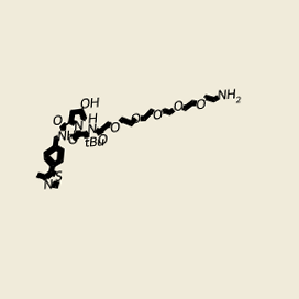 Cc1ncsc1-c1ccc(CNC(=O)[C@H]2C[C@H](O)CN2C(=O)C(NC(=O)COCCOCCOCCOCCOCCN)C(C)(C)C)cc1